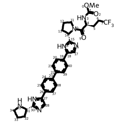 COC(=O)N[C@@H](CCC(F)(F)F)C(=O)N1CCC[C@H]1c1ncc(-c2ccc(-c3ccc(-c4cnc([C@@H]5CCCN5)[nH]4)cc3)cc2)[nH]1